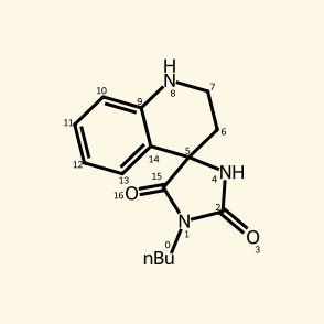 CCCCN1C(=O)NC2(CCNc3ccccc32)C1=O